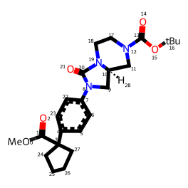 COC(=O)C1(c2ccc(N3C[C@@H]4CN(C(=O)OC(C)(C)C)CCN4C3=O)cc2)CCCC1